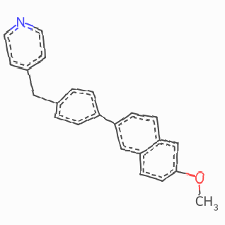 COc1ccc2cc(-c3ccc(Cc4ccncc4)cc3)ccc2c1